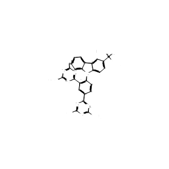 Cc1nc(C)nc(-c2ccc(-n3c4ccccc4c4cc(C(C)(C)C)ccc43)c(-c3nc(C)nc(C)n3)c2)n1